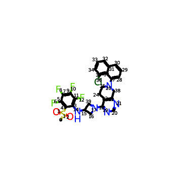 CS(=O)(=O)c1c(F)c(F)c(F)c(F)c1NC1CN(c2ncnc3c2CCN(c2cccc4cccc(Cl)c24)C3)C1